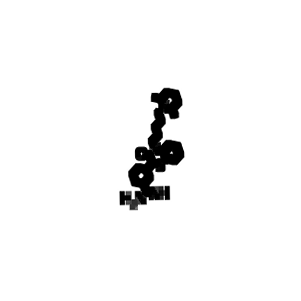 CC1CCCC(C)N1CCCCCN1C(=O)C(C2CCCC(C(=N)N)C2)Sc2ccccc21